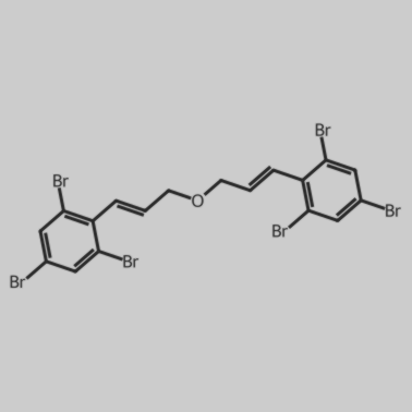 Brc1cc(Br)c(C=CCOCC=Cc2c(Br)cc(Br)cc2Br)c(Br)c1